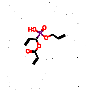 C=CCOP(=O)(O)C(C=C)OC(=O)C=C